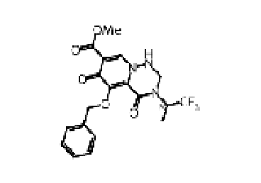 COC(=O)c1cn2c(c(OCc3ccccc3)c1=O)C(=O)N([C@H](C)C(F)(F)F)CN2